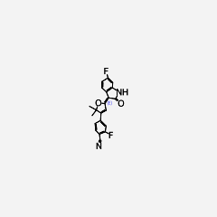 CC1(C)O/C(=C2/C(=O)Nc3cc(F)ccc32)C=C1c1ccc(C#N)c(F)c1